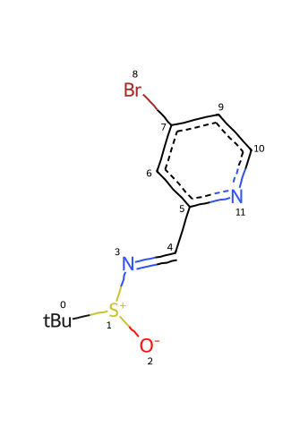 CC(C)(C)[S+]([O-])N=Cc1cc(Br)ccn1